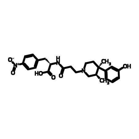 C[C@H]1CN(CCC(=O)N[C@@H](Cc2ccc([N+](=O)[O-])cc2)C(=O)O)CC[C@@]1(C)c1cccc(O)c1